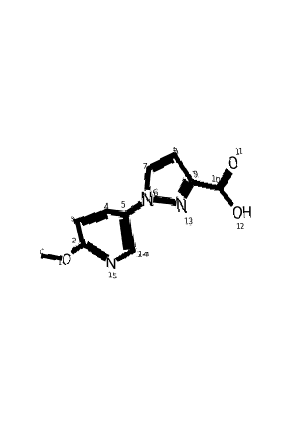 COc1ccc(-n2ccc(C(=O)O)n2)cn1